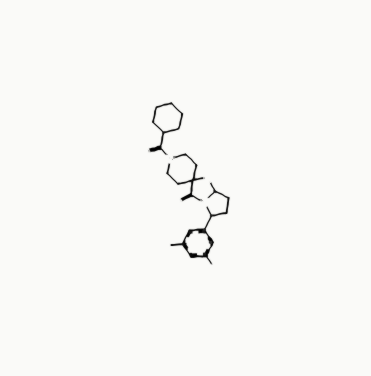 O=C(C1CCCCC1)N1CCC2(CC1)OC1CCC(c3cc(F)cc(F)c3)N1C2=O